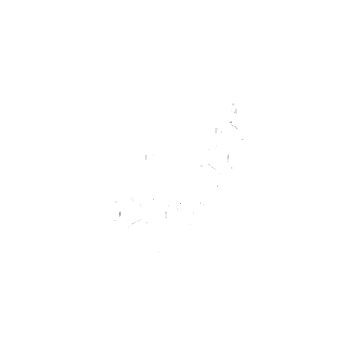 Br.CCCCC(NCCc1ccc(NC(N)=O)cc1)NC(=O)Nc1ccccc1